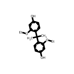 CCOc1cc(O)ccc1C(C)(C)c1ccc(O)cc1OCC